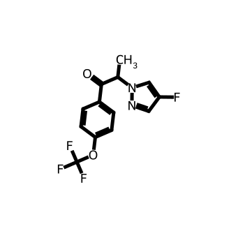 CC(C(=O)c1ccc(OC(F)(F)F)cc1)n1cc(F)cn1